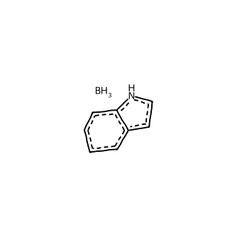 B.c1ccc2[nH]ccc2c1